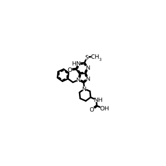 CSc1nc2nc(N3CCCC(NC(=O)O)C3)n(Cc3ccccc3)c2c(=O)[nH]1